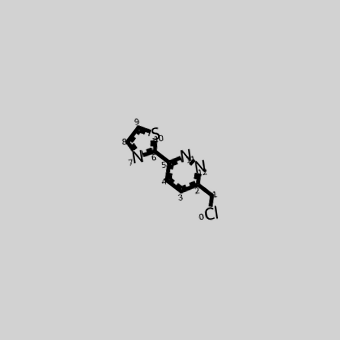 ClCc1ccc(-c2nccs2)nn1